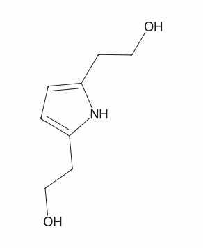 OCCc1ccc(CCO)[nH]1